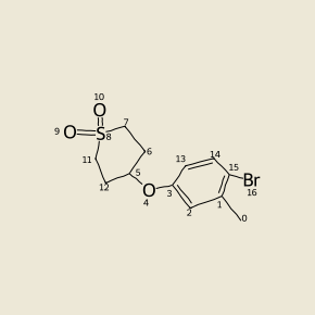 Cc1cc(OC2CCS(=O)(=O)CC2)ccc1Br